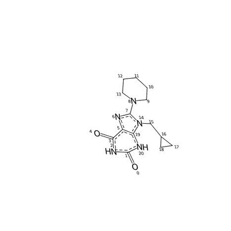 O=c1[nH]c(=O)c2nc(N3CCCCC3)n(CC3CC3)c2[nH]1